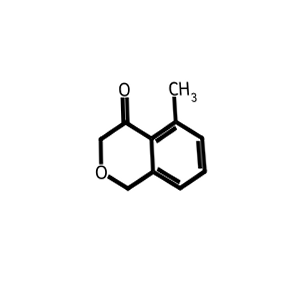 Cc1cccc2c1C(=O)COC2